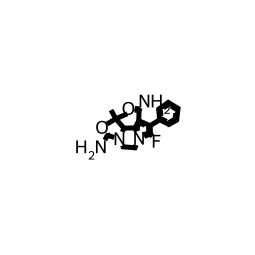 CC(C)(C)C1c2c(C(N)=O)c(-c3ccccc3)c(F)n2CCN1C(N)=O